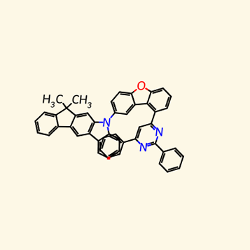 CC1(C)c2ccccc2-c2cc3c4ccccc4n(-c4ccc5oc6cccc(-c7cc(-c8ccccc8)nc(-c8ccccc8)n7)c6c5c4)c3cc21